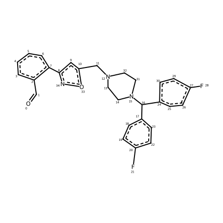 O=Cc1ccccc1-c1cc(CN2CCN(C(c3ccc(F)cc3)c3ccc(F)cc3)CC2)on1